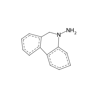 NN1Cc2ccccc2-c2ccccc21